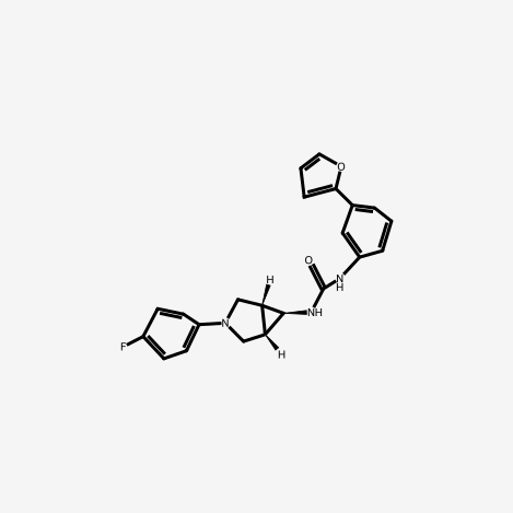 O=C(Nc1cccc(-c2ccco2)c1)N[C@H]1[C@@H]2CN(c3ccc(F)cc3)C[C@@H]21